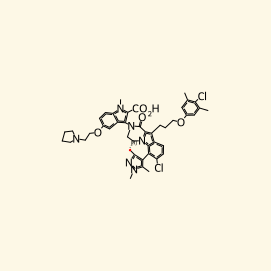 Cc1cc(OCCCc2c3n(c4c(-c5c(C)nn(C)c5C)c(Cl)ccc24)[C@H](C)CN(c2c(C(=O)O)n(C)c4ccc(OCCN5CCCC5)cc24)C3=O)cc(C)c1Cl